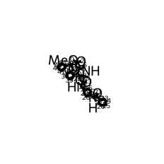 COC(=O)OC1=C(C)NC(C)=C(OC(=O)Nc2ccc(NC(=O)c3ccccc3)cc2)C1c1ccccc1OCc1ccccc1